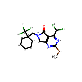 CSc1nc2c(c(C(F)F)n1)C(=O)N(CC1(C(F)(F)F)CCCCC1)C2